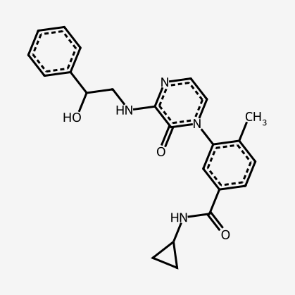 Cc1ccc(C(=O)NC2CC2)cc1-n1ccnc(NCC(O)c2ccccc2)c1=O